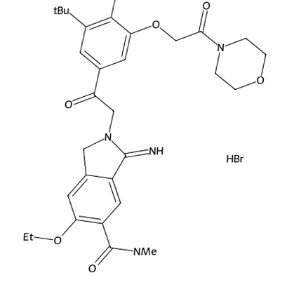 Br.CCOc1cc2c(cc1C(=O)NC)C(=N)N(CC(=O)c1cc(OCC(=O)N3CCOCC3)c(OC)c(C(C)(C)C)c1)C2